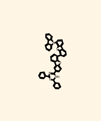 c1ccc(C2=NC(c3ccccc3)NC(c3ccc4sc5c(-c6cccc7c6sc6c(-n8c9ccccc9c9ccccc98)cccc67)cccc5c4c3)=N2)cc1